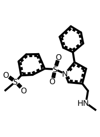 CNCc1cc(-c2ccccc2)n(S(=O)(=O)c2cccc(S(C)(=O)=O)c2)c1